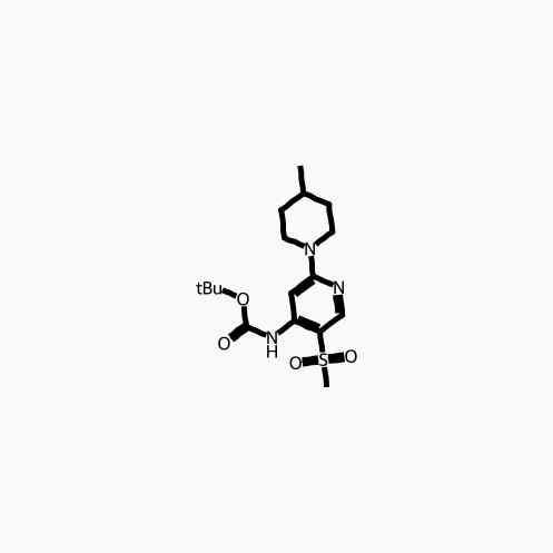 CC1CCN(c2cc(NC(=O)OC(C)(C)C)c(S(C)(=O)=O)cn2)CC1